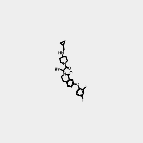 CC(C)C(C(=O)N1CCC(NCC2CC2)CC1)N1CCc2ccc(Oc3ccc(F)cc3F)cc2C1=O